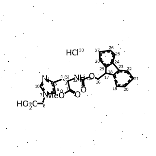 COC(=O)[C@H](Cc1cn(CC(=O)O)cn1)NC(=O)OCC1c2ccccc2-c2ccccc21.Cl